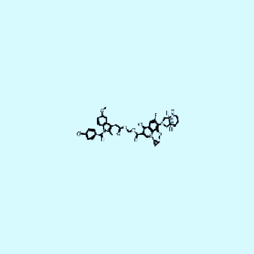 COc1ccc2c(c1)c(CC(=O)OCOC(=O)c1cn(C3CC3)c3c(OC)c(N4C[C@H]5CCCN[C@H]5C4)c(F)cc3c1=O)c(C)n2C(=O)c1ccc(Cl)cc1